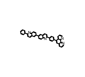 c1ccc(-c2ccc3cc(-c4ccc5nc(-c6ccc(-c7cc8cccnc8c8ncccc78)cc6)ccc5c4)ccc3n2)cc1